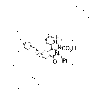 CC(C)Cn1c(N(C)C(=O)O)c(-c2ccccc2)c2cc(OCc3ccccc3)ccc2c1=O